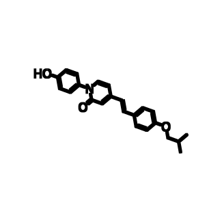 CC(C)COc1ccc(C=Cc2ccn(-c3ccc(O)cc3)c(=O)c2)cc1